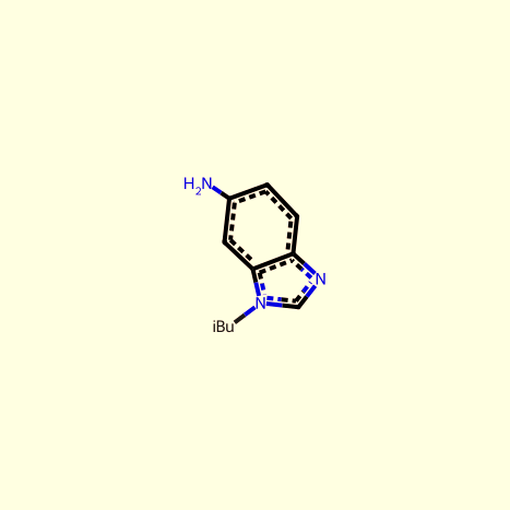 CCC(C)n1cnc2ccc(N)cc21